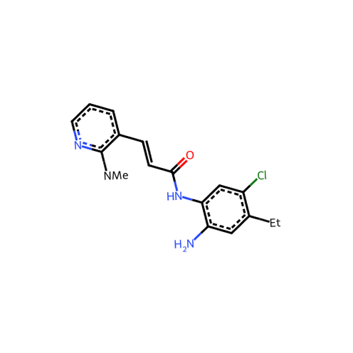 CCc1cc(N)c(NC(=O)/C=C/c2cccnc2NC)cc1Cl